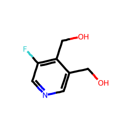 OCc1cncc(F)c1CO